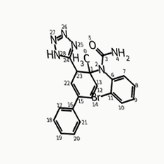 CC1(N(C(N)=O)c2ccccc2Br)C=CC(c2ccccc2)=CC1c1nnn[nH]1